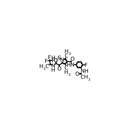 CC(=O)Nc1cc(NC(=O)c2c(C)c(C(=O)C(=O)N[C@@H](C)C(F)(F)F)n(C)c2C)ccc1F